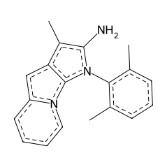 Cc1cccc(C)c1-n1c(N)c(C)c2cc3ccccn3c21